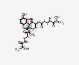 C[C@H](O)C(=O)NCCC(=O)OC1=CC[C@@]2(OC(=O)CCNC(=O)[C@H](C)O)[C@H]3Cc4ccc(O)c5c4[C@@]2(CCN3C)[C@H]1O5